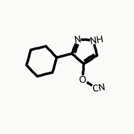 N#COc1c[nH]nc1C1CCCCC1